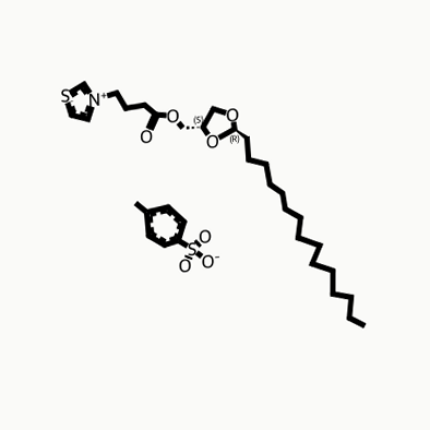 CCCCCCCCCCCCCCC[C@@H]1OC[C@@H](COC(=O)CCC[n+]2ccsc2)O1.Cc1ccc(S(=O)(=O)[O-])cc1